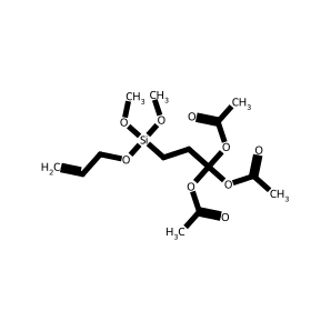 C=CCO[Si](CCC(OC(C)=O)(OC(C)=O)OC(C)=O)(OC)OC